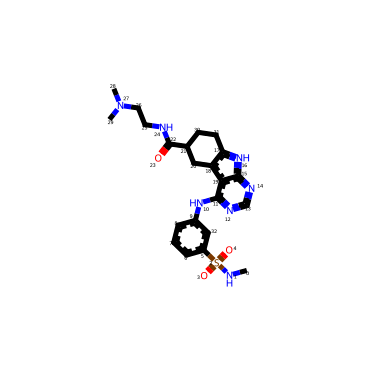 CNS(=O)(=O)c1cccc(Nc2ncnc3[nH]c4c(c23)CC(C(=O)NCCN(C)C)CC4)c1